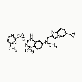 Cc1ccnc([C@H]2C[C@@H]2C2=NS(=O)(=O)c3ccc(N(C)Cc4cn5cc(C6CC6)ccc5n4)cc3N2)n1